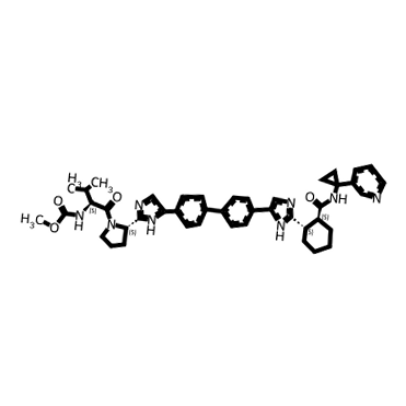 COC(=O)N[C@H](C(=O)N1CCC[C@H]1c1ncc(-c2ccc(-c3ccc(-c4cnc([C@H]5CCCC[C@@H]5C(=O)NC5(c6cccnc6)CC5)[nH]4)cc3)cc2)[nH]1)C(C)C